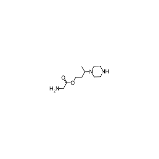 CC(CCOC(=O)CN)N1CCNCC1